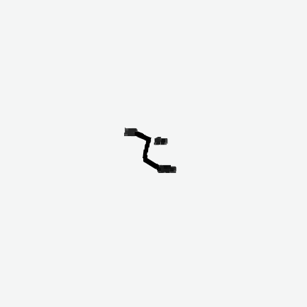 COCCO.[Sm]